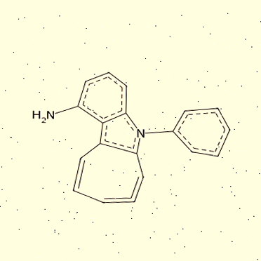 Nc1cccc2c1c1c(n2-c2ccccc2)C=C=CC=C1